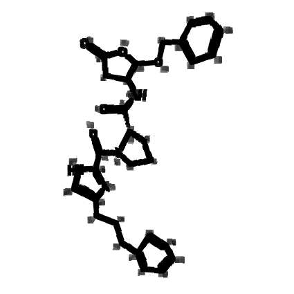 O=C1CC(NC(=O)[C@@H]2CCCN2C(=O)c2nc(CCCc3ccccc3)c[nH]2)C(OCc2ccccc2)O1